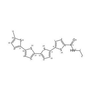 CCNC(=O)c1ccc(-c2ccc(-c3ccc(-c4ccc(C)s4)s3)s2)s1